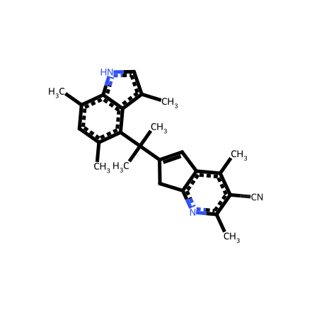 Cc1cc(C)c2[nH]cc(C)c2c1C(C)(C)C1=Cc2c(nc(C)c(C#N)c2C)C1